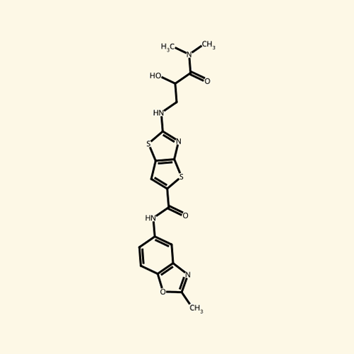 Cc1nc2cc(NC(=O)c3cc4sc(NCC(O)C(=O)N(C)C)nc4s3)ccc2o1